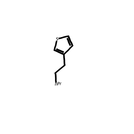 CCC[CH]Cc1ccsc1